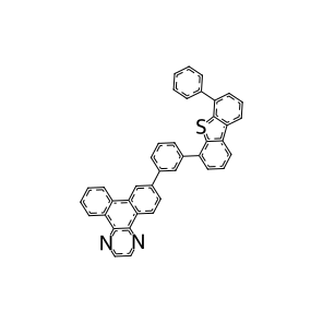 c1ccc(-c2cccc3c2sc2c(-c4cccc(-c5ccc6c(c5)c5ccccc5c5nccnc65)c4)cccc23)cc1